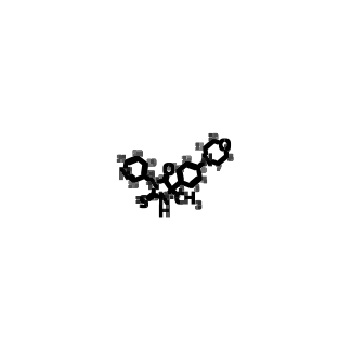 CC1(c2ccc(N3CCOCC3)cc2)NC(=S)N(c2cccnc2)C1=O